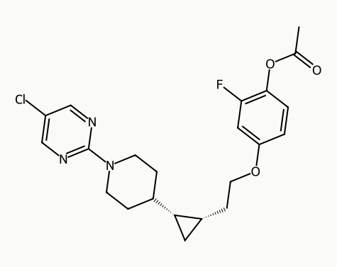 CC(=O)Oc1ccc(OCC[C@@H]2C[C@@H]2C2CCN(c3ncc(Cl)cn3)CC2)cc1F